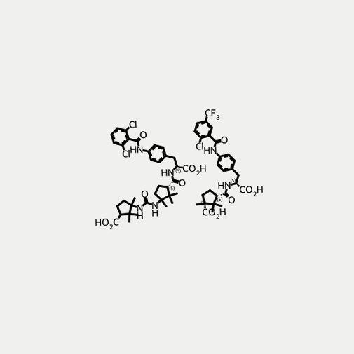 CC1(C)[C@@H](C(=O)N[C@@H](Cc2ccc(NC(=O)c3cc(C(F)(F)F)ccc3Cl)cc2)C(=O)O)CC[C@]1(C)C(=O)O.CC1(NC(=O)NC2(C)CC[C@H](C(=O)N[C@@H](Cc3ccc(NC(=O)c4c(Cl)cccc4Cl)cc3)C(=O)O)C2(C)C)CCC(C(=O)O)C1(C)C